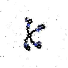 C/C=C\c1ccccc1/C=N/CCCC#Cc1cc(C#CCCC[n+]2ccc3ccccc3c2)c(C#CCCC/N=C/c2ccccc2/C=C\C)cc1C#CCCC/N=C/C=c1/cccc/c1=C/C